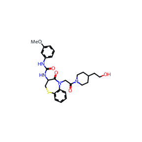 COc1cccc(NC(=O)NC2CSc3ccccc3N(CC(=O)N3CCC(CCO)CC3)C2=O)c1